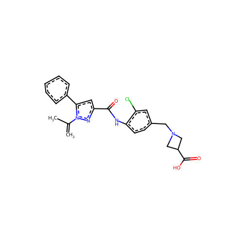 C=C(C)n1nc(C(=O)Nc2ccc(CN3CC(C(=O)O)C3)cc2Cl)cc1-c1ccccc1